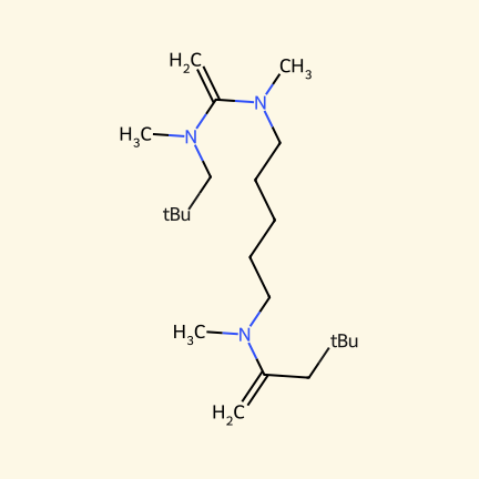 C=C(CC(C)(C)C)N(C)CCCCCN(C)C(=C)N(C)CC(C)(C)C